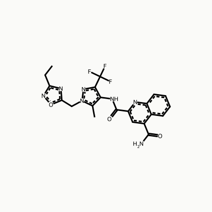 CCc1noc(Cn2nc(C(F)(F)F)c(NC(=O)c3cc(C(N)=O)c4ccccc4n3)c2C)n1